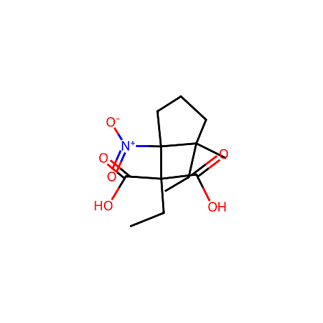 CCC1(C)CCCC1([N+](=O)[O-])C(CC)(C(=O)O)C(=O)O